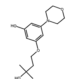 CC(C)(O)CCOc1cc(O)cc(N2CCOCC2)c1